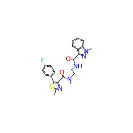 Cc1nc(C(=O)N(C)CCNC(=O)c2nn(C)c3ccccc23)c(-c2ccc(F)cc2)s1